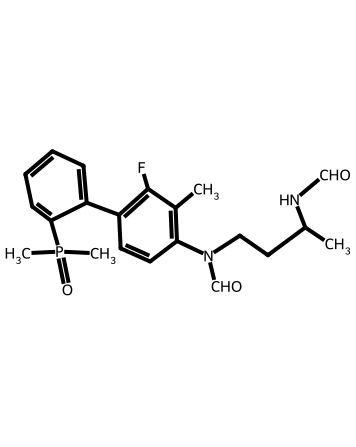 Cc1c(N(C=O)CCC(C)NC=O)ccc(-c2ccccc2P(C)(C)=O)c1F